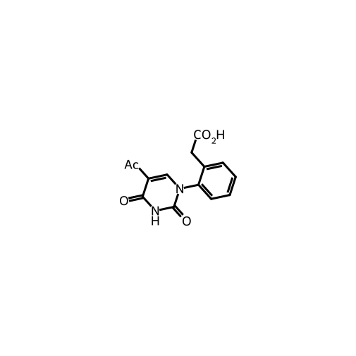 CC(=O)c1cn(-c2ccccc2CC(=O)O)c(=O)[nH]c1=O